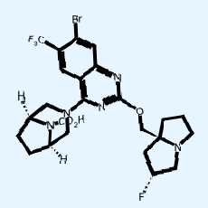 O=C(O)N1[C@@H]2CC[C@H]1CN(c1nc(OC[C@@]34CCCN3C[C@H](F)C4)nc3cc(Br)c(C(F)(F)F)cc13)C2